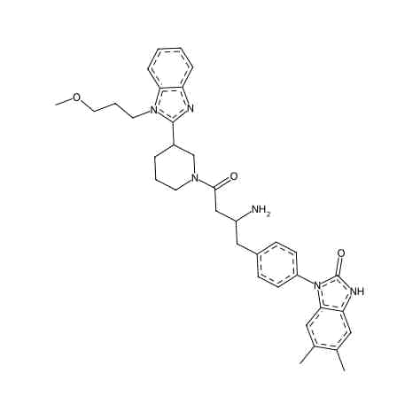 COCCCn1c(C2CCCN(C(=O)CC(N)Cc3ccc(-n4c(=O)[nH]c5cc(C)c(C)cc54)cc3)C2)nc2ccccc21